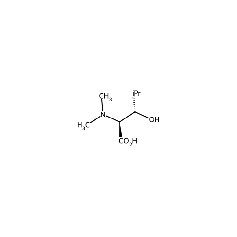 CC(C)[C@H](O)[C@@H](C(=O)O)N(C)C